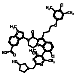 Cc1cc(OCCCc2c3n(c4c(-c5c(C)nc(CN6CCC(O)C6)nc5C)c(Cl)ccc24)[C@H](C)CN(c2cn(C)c4ccc(C(=O)O)cc24)C3=O)cc(C)c1Cl